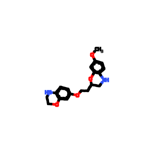 COc1ccc2c(c1)OC(CCOc1ccc3c(c1)OCCN3)CN2